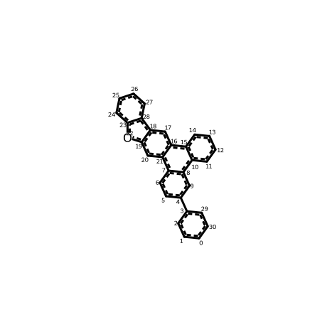 c1ccc(-c2ccc3c(c2)c2ccccc2c2cc4c(cc32)oc2ccccc24)cc1